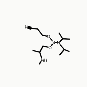 CNC(C)COB(OCCC#N)N(C(C)C)C(C)C